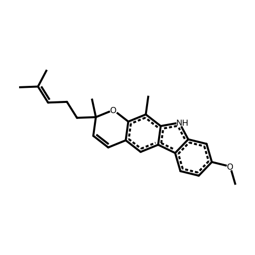 COc1ccc2c(c1)[nH]c1c(C)c3c(cc12)C=CC(C)(CCC=C(C)C)O3